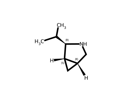 CC(C)[C@H]1NC[C@@H]2C[C@@H]21